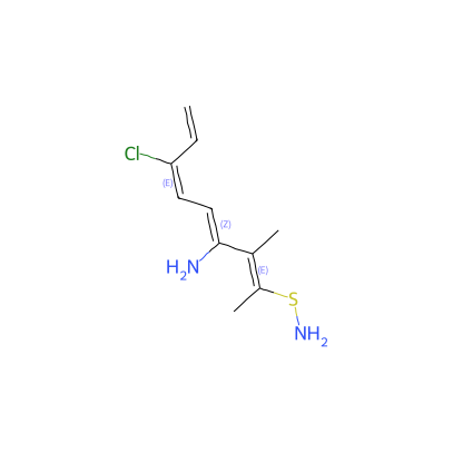 C=C\C(Cl)=C/C=C(N)/C(C)=C(\C)SN